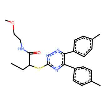 CCC(Sc1nnc(-c2ccc(C)cc2)c(-c2ccc(C)cc2)n1)C(=O)NCCOC